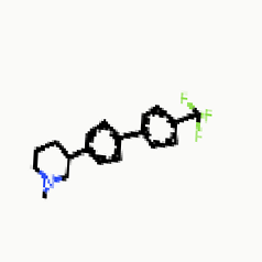 CN1CCCC(c2ccc(-c3ccc(C(F)(F)F)cc3)cc2)C1